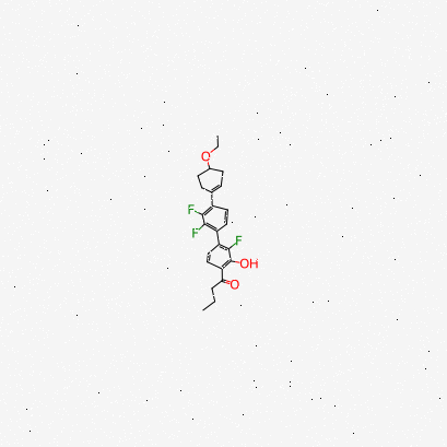 CCCC(=O)c1ccc(-c2ccc(C3=CCC(OCC)CC3)c(F)c2F)c(F)c1O